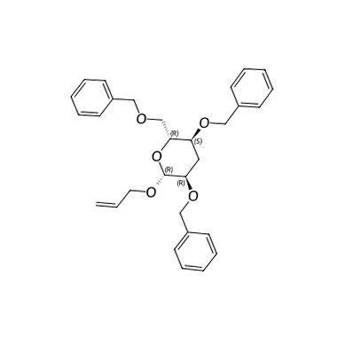 C=CCO[C@@H]1O[C@H](COCc2ccccc2)[C@@H](OCc2ccccc2)C[C@H]1OCc1ccccc1